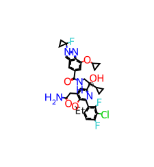 CCOc1c(CC(N)=O)cc([C@@](O)(CNC(=O)c2cc(OC3CC3)c3nn(C4(F)CC4)cc3c2)C2CC2)nc1-c1ccc(F)c(Cl)c1F